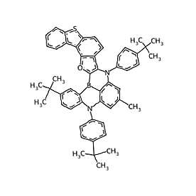 Cc1cc2c3c(c1)N(c1ccc(C(C)(C)C)cc1)c1c(oc4c1ccc1sc5ccccc5c14)B3c1cc(C(C)(C)C)ccc1N2c1ccc(C(C)(C)C)cc1